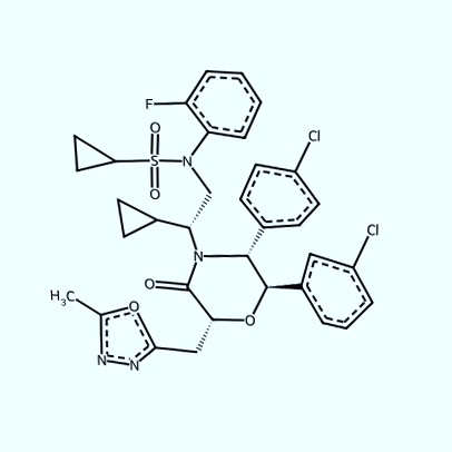 Cc1nnc(C[C@H]2O[C@H](c3cccc(Cl)c3)[C@@H](c3ccc(Cl)cc3)N([C@@H](CN(c3ccccc3F)S(=O)(=O)C3CC3)C3CC3)C2=O)o1